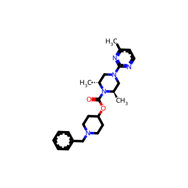 Cc1ccnc(N2C[C@@H](C)N(C(=O)OC3CCN(Cc4ccccc4)CC3)[C@H](C)C2)n1